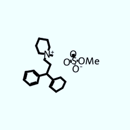 COS(=O)(=O)[O-].C[N+]1(CCC(C2=CCCCC2)c2ccccc2)CCCCC1